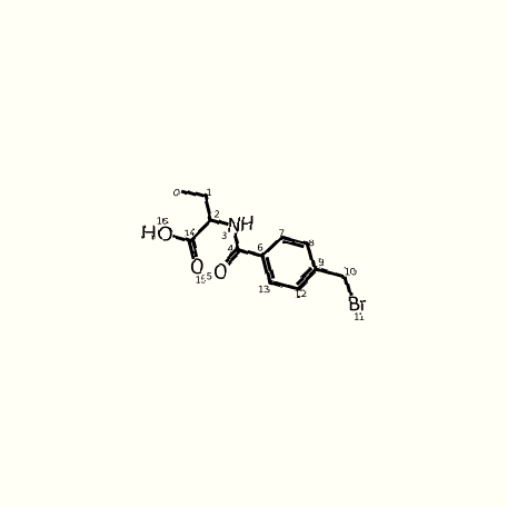 CCC(NC(=O)c1ccc(CBr)cc1)C(=O)O